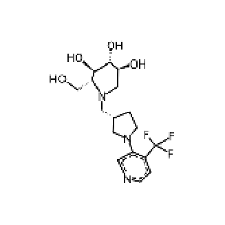 OC[C@@H]1[C@@H](O)[C@H](O)[C@@H](O)CN1C[C@@H]1CCN(c2cnccc2C(F)(F)F)C1